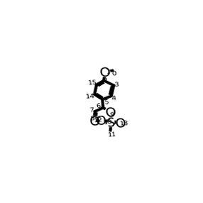 COc1ccc(C(C=O)OS(C)(=O)=O)cc1